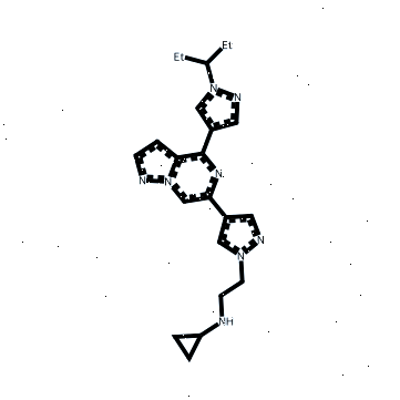 CCC(CC)n1cc(-c2nc(-c3cnn(CCNC4CC4)c3)cn3nccc23)cn1